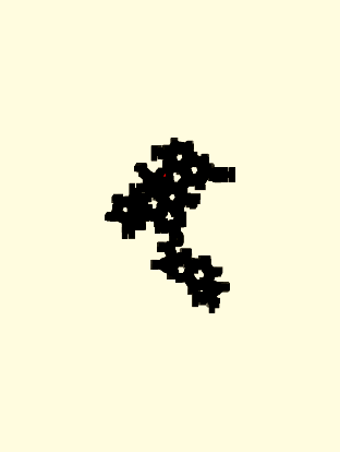 C#Cc1c(F)ccc2cc(O)cc(-c3c(F)c4nc(OCC5(CN6CCC7(CC6)CC7(F)F)CC5)nc(N5C[C@H]6CC[C@@H](C5)N6)c4c4cc(C)oc34)c12